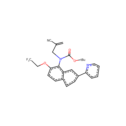 C=C(C#N)CN(C(=O)OC(C)(C)C)c1c(OCC(F)(F)F)ccc2ccc(-c3ccccn3)cc12